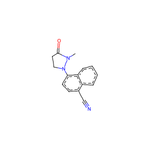 CN1C(=O)CCN1c1ccc(C#N)c2ccccc12